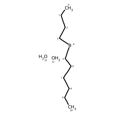 CCCC[B]CCCCCC.O.O